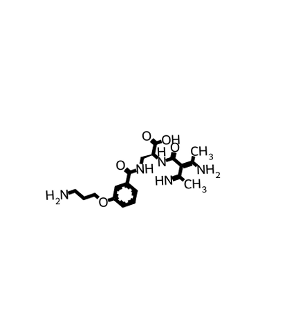 CC(=N)/C(C(=O)N[C@@H](CNC(=O)c1cccc(OCCCN)c1)C(=O)O)=C(/C)N